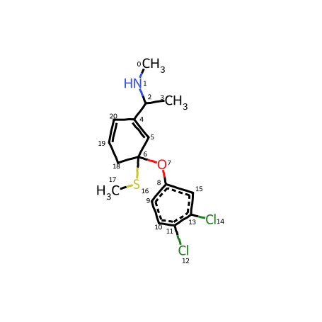 CNC(C)C1=CC(Oc2ccc(Cl)c(Cl)c2)(SC)CC=C1